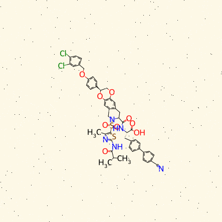 Cc1nc(NC(=O)C(C)C)sc1S(=O)(=O)N1Cc2cc3c(cc2CC1C(=O)N[C@@H](Cc1ccc(-c2ccc(C#N)cc2)cc1)C(=O)O)OC[C@H](c1ccc(OCc2ccc(Cl)c(Cl)c2)cc1)O3